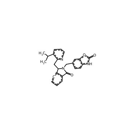 CC(C)c1cccnc1CC1c2ccccc2C(=O)N1Cc1ccc2[nH]c(=O)oc2c1